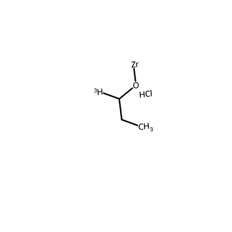 Cl.[3H]C(CC)[O][Zr]